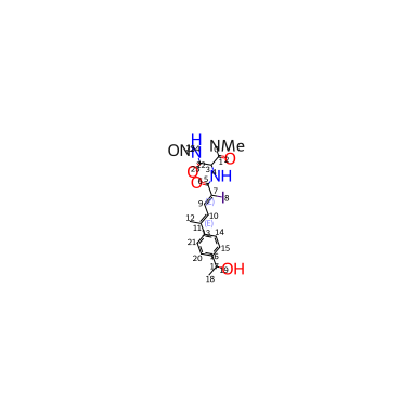 CNC(=O)C(NC(=O)/C(I)=C/C=C(\C)c1ccc(C(C)O)cc1)C(=O)NN=O